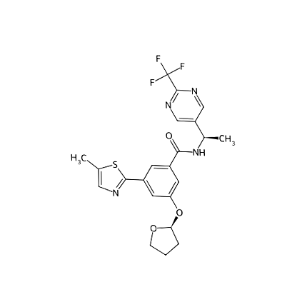 Cc1cnc(-c2cc(O[C@H]3CCCO3)cc(C(=O)N[C@H](C)c3cnc(C(F)(F)F)nc3)c2)s1